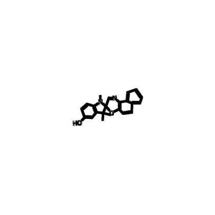 CN1c2ccc(O)cc2C(C)(C)C12C=Nc1c(ccc3ccccc13)O2